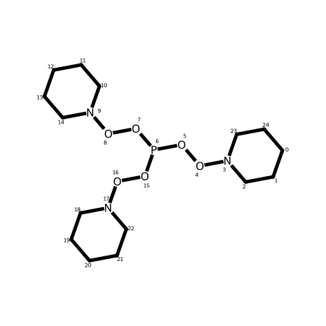 C1CCN(OOP(OON2CCCCC2)OON2CCCCC2)CC1